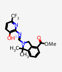 COC(=O)c1cccc2c1CN(/C=N/c1nc(C(F)(F)F)ccc1O)C2(C)C